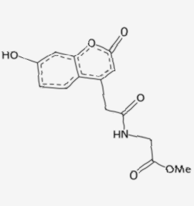 COC(=O)CNC(=O)Cc1cc(=O)oc2cc(O)ccc12